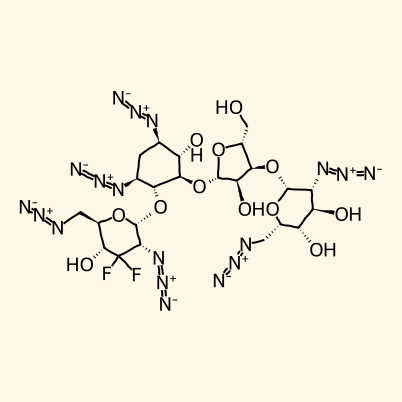 [N-]=[N+]=NC[C@@H]1O[C@H](O[C@H]2[C@@H](O)[C@H](O[C@@H]3[C@@H](O)[C@H](N=[N+]=[N-])C[C@H](N=[N+]=[N-])[C@H]3O[C@H]3O[C@H](CN=[N+]=[N-])[C@@H](O)C(F)(F)[C@H]3N=[N+]=[N-])O[C@@H]2CO)[C@H](N=[N+]=[N-])[C@@H](O)[C@@H]1O